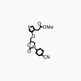 COC(=O)Cc1cscc1OCC1CN(c2ccc(C#N)cc2)C(=O)O1